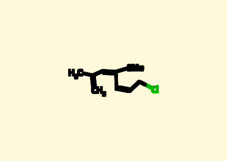 C=C(C)/C=C(\C=C/CCl)SC